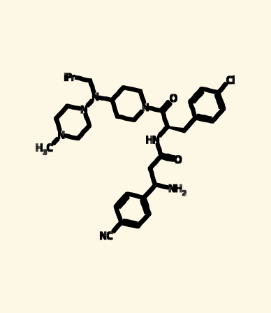 CC(C)CN(C1CCN(C(=O)[C@@H](Cc2ccc(Cl)cc2)NC(=O)CC(N)c2ccc(C#N)cc2)CC1)N1CCN(C)CC1